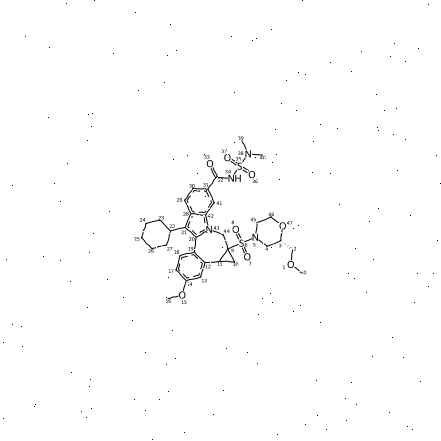 COC[C@@H]1CN(S(=O)(=O)C23CC2c2cc(OC)ccc2-c2c(C4CCCCC4)c4ccc(C(=O)NS(=O)(=O)N(C)C)cc4n2C3)CCO1